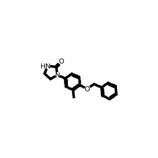 Cc1cc(N2CCNC2=O)ccc1OCc1ccccc1